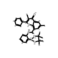 Cc1cc(C(C)Nc2ccccc2B2OC(C)(C)C(C)(C)O2)c2oc(-c3ccccc3)c(C)c(=O)c2c1